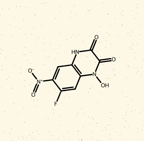 O=c1[nH]c2cc([N+](=O)[O-])c(F)cc2n(O)c1=O